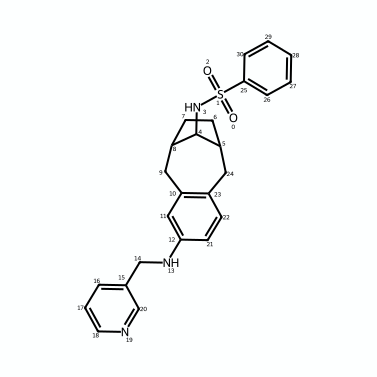 O=S(=O)(NC1C2CCC1Cc1cc(NCc3cccnc3)ccc1C2)c1ccccc1